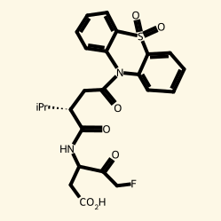 CC(C)[C@H](CC(=O)N1c2ccccc2S(=O)(=O)c2ccccc21)C(=O)NC(CC(=O)O)C(=O)CF